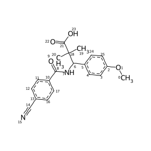 COc1ccc(C(NC(=O)c2ccc(C#N)cc2)C(C)(C)C(=O)O)cc1